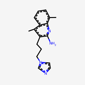 Cc1c(CCCn2ccnc2)c(N)nc2c(C)cccc12